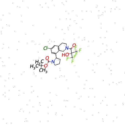 CC(C)(C)OC(=O)N1CCCC1c1cc(Cl)cc2c1CN(C(=O)C(O)(C(F)(F)F)C(F)(F)F)CC2